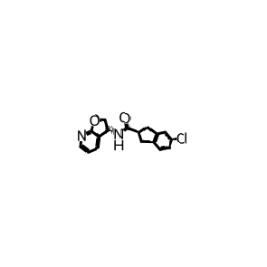 O=C(N[C@H]1COc2ncccc21)C1Cc2ccc(Cl)cc2C1